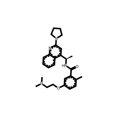 Cc1ccc(OCCN(C)C)cc1C(=O)N[C@H](C)c1cc(N2CCCC2)nc2ccccc12